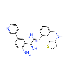 CN(Cc1cccc(/C=C(\N)C(=N)c2cc(-c3cccnc3)ccc2N)c1)C1CCSC1